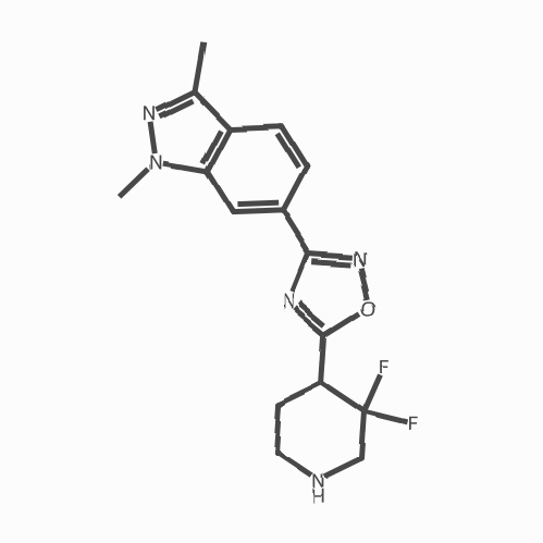 Cc1nn(C)c2cc(-c3noc(C4CCNCC4(F)F)n3)ccc12